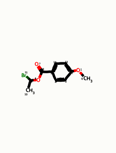 COc1ccc(C(=O)OC(C)Br)cc1